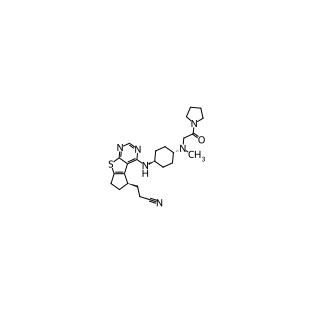 CN(CC(=O)N1CCCC1)[C@H]1CC[C@H](Nc2ncnc3sc4c(c23)[C@@H](CCC#N)CC4)CC1